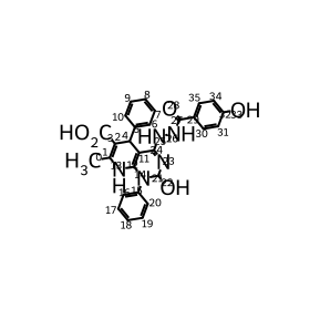 CC1=C(C(=O)O)C(c2ccccc2)C2=C(N1)N(c1ccccc1)C(O)N=C2NNC(=O)c1ccc(O)cc1